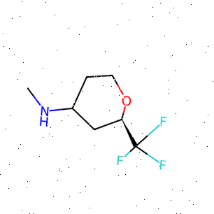 CNC1CCO[C@@H](C(F)(F)F)C1